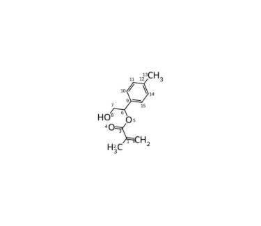 C=C(C)C(=O)OC(CO)c1ccc(C)cc1